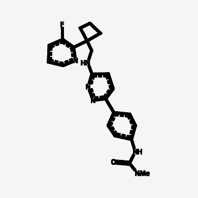 CNC(=O)Nc1ccc(-c2ccc(NCC3(c4ncccc4F)CCC3)nn2)cc1